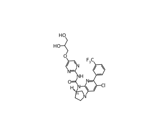 O=C(Nc1ncc(OCC(O)CO)cn1)N1c2nc(-c3cccc(C(F)(F)F)c3)c(Cl)cc2N2CC[C@H]1C2